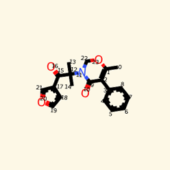 CC1=C(c2ccccc2)C(=O)N(C(C)(C)C(=O)c2ccoc2)CO1